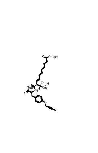 CC#CCOc1ccc(C[C@H](NC(=O)[C@@H](/C=C/CCCCCCC(=O)CCCCCCC)[C@](C)(O)C(=O)O)C(=O)OC)cc1